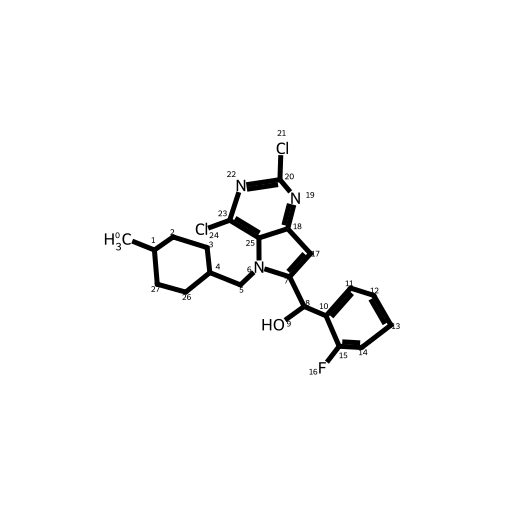 CC1CCC(Cn2c(C(O)c3ccccc3F)cc3nc(Cl)nc(Cl)c32)CC1